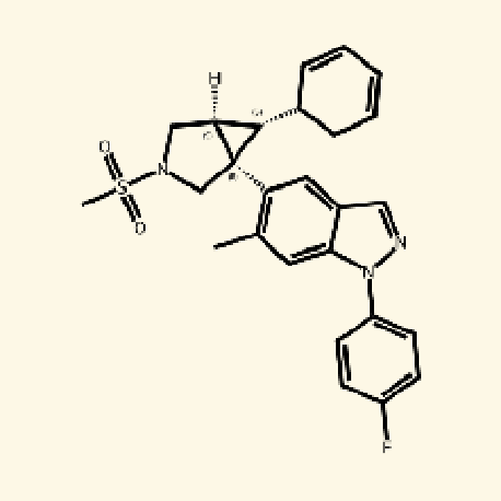 Cc1cc2c(cnn2-c2ccc(F)cc2)cc1[C@]12CN(S(C)(=O)=O)C[C@H]1[C@@H]2C1C=CC=CC1